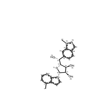 Cc1ccnc2c1ccn2[C@@H]1O[C@H]([C@H](O)c2ccc3cnn(C)c3c2)[C@@H](O)[C@H]1O